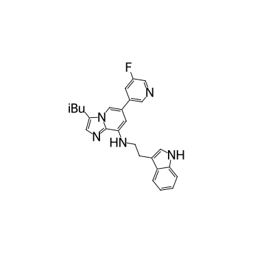 CCC(C)c1cnc2c(NCCc3c[nH]c4ccccc34)cc(-c3cncc(F)c3)cn12